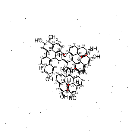 C=C/C(=C\C(=C/CC(C1=C2C=CC(O)=C[C@H]2CC=C1I)c1c(I)ccc(C=C)c1/C=C\CO)C(c1c(O)ccc2c1C=C[C@H](N)C2)c1c(N)ccc2cc(O)ccc12)C(C1[C@H](O)CC=C2C=C(N=O)C=C[C@H]21)C1[C@@H](N=O)CC=C2C=C(O)C=C[C@@H]21